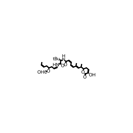 C/C=C\CC(C/C=C\NC(=O)C(NC(=O)\C=C/C=C\C(C)=C\C(C)C1CC=C(O)C(=O)O1)C(C)(C)C)OC=O